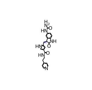 NC(=O)Nc1ccc2c(c1)/C(=C/c1cc(C(=O)NCCc3ccncc3)c[nH]1)C(=O)N2